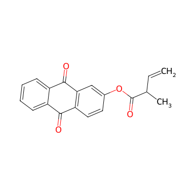 C=CC(C)C(=O)Oc1ccc2c(c1)C(=O)c1ccccc1C2=O